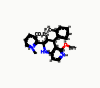 CCOC(=O)C1=C(c2cccc[n+]2C)Nc2ccnc(OC(C)C)c2C1c1ccccc1C(F)(F)F